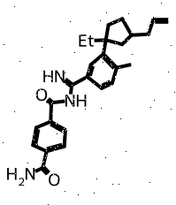 C=CCC1CCC(CC)(c2cc(C(=N)NC(=O)c3ccc(C(N)=O)cc3)ccc2C)C1